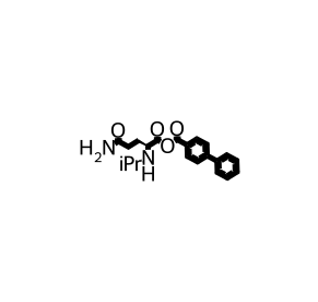 CC(C)N[C@@H](CCC(N)=O)C(=O)OC(=O)c1ccc(-c2ccccc2)cc1